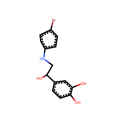 Oc1ccc(C(O)CNc2ccc(Br)cc2)cc1O